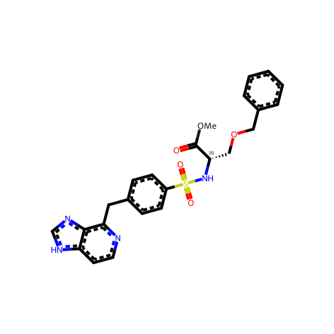 COC(=O)[C@H](COCc1ccccc1)NS(=O)(=O)c1ccc(Cc2nccc3[nH]cnc23)cc1